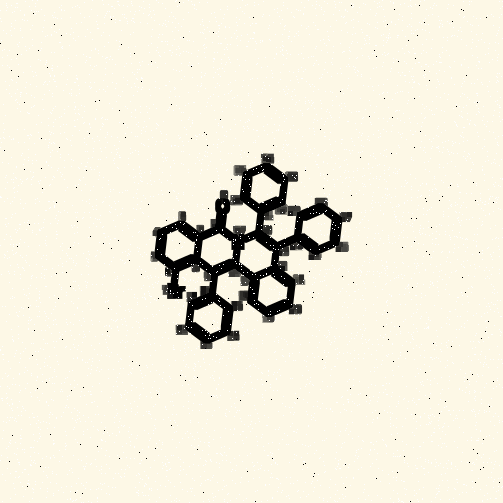 O=c1c2cccc(Br)c2c(-c2ccccc2)c2c3ccccc3c(-c3ccccc3)c(-c3ccccc3)n12